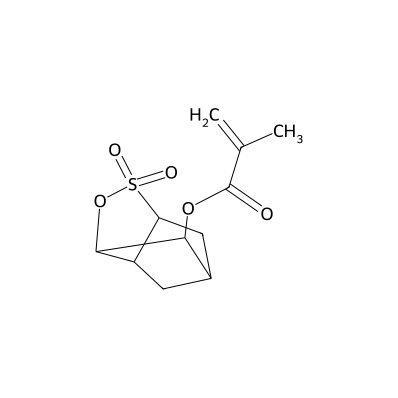 C=C(C)C(=O)OC1C2CC3C1OS(=O)(=O)C3C2